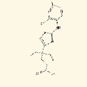 CCC(CC)(CCC(=O)O)c1nc(Nc2ccc(Cl)cc2Cl)sc1C